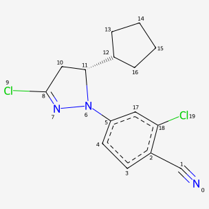 N#Cc1ccc(N2N=C(Cl)C[C@@H]2C2CCCC2)cc1Cl